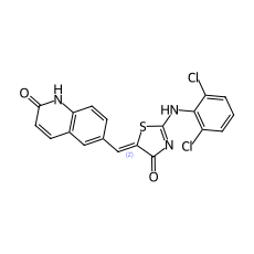 O=C1N=C(Nc2c(Cl)cccc2Cl)S/C1=C\c1ccc2[nH]c(=O)ccc2c1